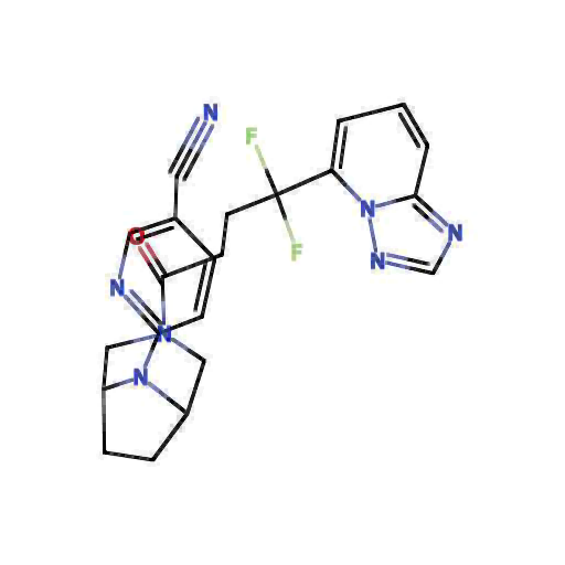 N#Cc1ccc(N2C3CCC2CN(C(=O)CCC(F)(F)c2cccc4ncnn24)C3)nc1